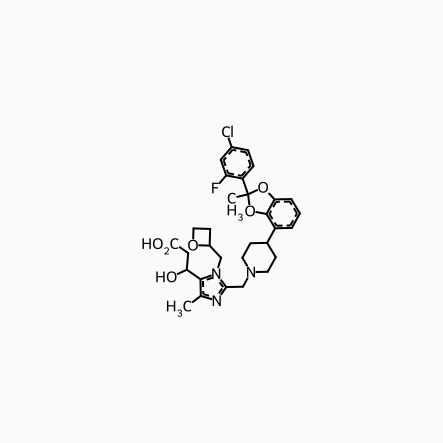 Cc1nc(CN2CCC(c3cccc4c3OC(C)(c3ccc(Cl)cc3F)O4)CC2)n(CC2CCO2)c1C(O)CC(=O)O